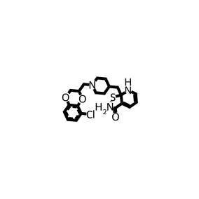 CSC1(CC2CCN(CC3COc4cccc(Cl)c4O3)CC2)NC=CC=C1C(N)=O